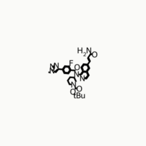 Cn1cc(-c2ccc(C(=O)N(c3nccc4cc(/C=C/C(N)=O)ccc34)[C@@H]3CCCN(C(=O)OC(C)(C)C)C3)c(F)c2)nn1